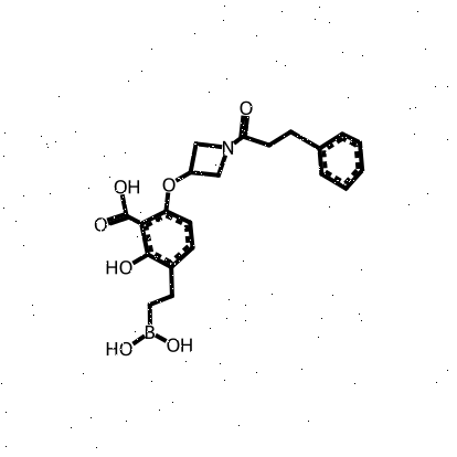 O=C(O)c1c(OC2CN(C(=O)CCc3ccccc3)C2)ccc(CCB(O)O)c1O